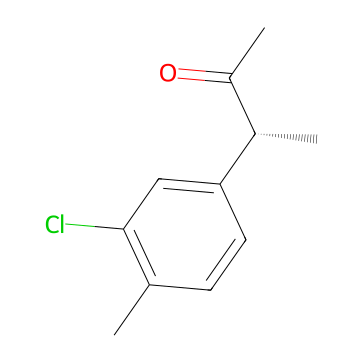 CC(=O)[C@H](C)c1ccc(C)c(Cl)c1